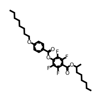 CCCCCCCCOc1ccc(C(=O)Oc2c(F)c(F)c(C(=O)OC(C)CCCCCC)c(F)c2F)cc1